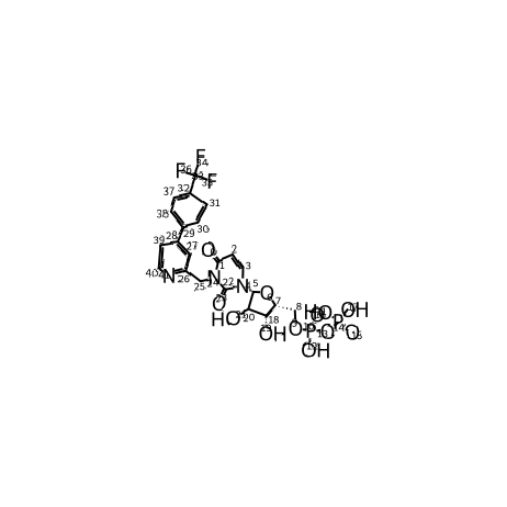 O=c1ccn([C@@H]2O[C@H](COP(=O)(O)OP(=O)(O)O)[C@H](O)C2O)c(=O)n1Cc1cc(-c2ccc(C(F)(F)F)cc2)ccn1